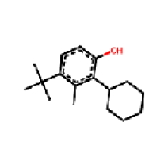 Cc1c(C(C)(C)C)ccc(O)c1C1CCCCC1